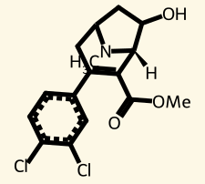 COC(=O)C1=C(c2ccc(Cl)c(Cl)c2)CC2CC(O)[C@H]1N2C